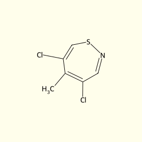 CC1=C(Cl)C=NSC=C1Cl